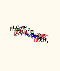 C=C/C(C)=C/[C@@]1(C)SC(=O)C=C1OCC(=O)NCCn1cc(CNC(=O)[C@H](O)C(C)(C)CO)n1C